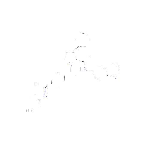 CCC(NC(=O)OC(C)(C)C)[C@H]1CC[C@H](C(=O)N2CC[C@@H](C3CCCCC3)[C@H]2C(=O)Nc2ccc3ncccc3c2)CC1